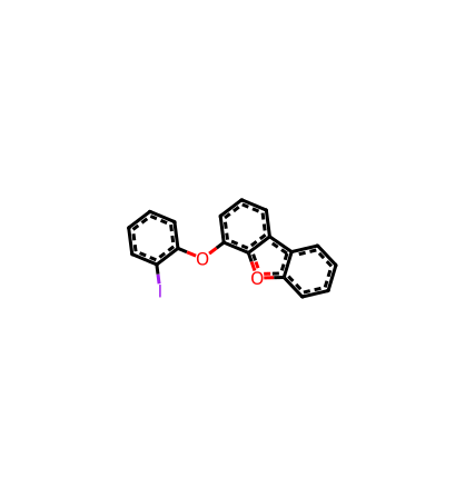 Ic1ccccc1Oc1cccc2c1oc1ccccc12